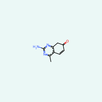 Cc1nc(N)nc2c1C=CC(=O)C2